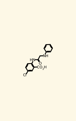 O=C(CNc1ccccc1)Nc1ccc(Cl)cc1C(=O)O